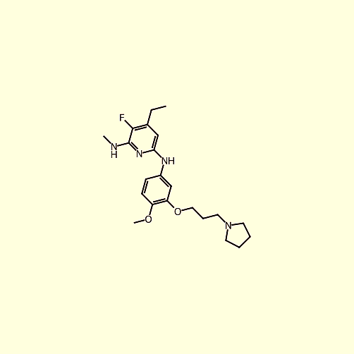 CCc1cc(Nc2ccc(OC)c(OCCCN3CCCC3)c2)nc(NC)c1F